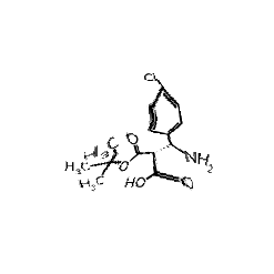 CC(C)(C)OC(=O)[C@@H](C(=O)O)C(N)c1ccc(Cl)cc1